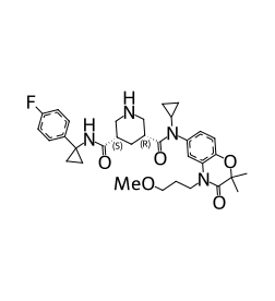 COCCCN1C(=O)C(C)(C)Oc2ccc(N(C(=O)[C@H]3CNC[C@@H](C(=O)NC4(c5ccc(F)cc5)CC4)C3)C3CC3)cc21